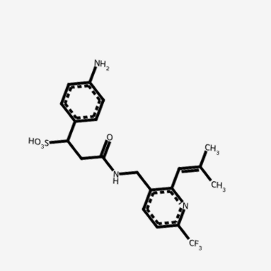 CC(C)=Cc1nc(C(F)(F)F)ccc1CNC(=O)CC(c1ccc(N)cc1)S(=O)(=O)O